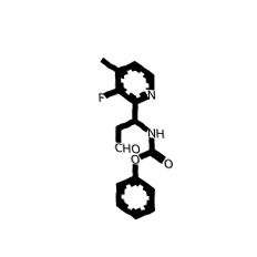 Cc1ccnc(C(CC=O)NC(=O)Oc2ccccc2)c1F